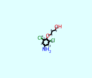 Nc1cc(Cl)c(OCCCO)c(Cl)c1